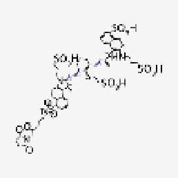 C=C(/C=C/C1=C(SCCS(=O)(=O)O)C(=C/C=C2/N(CCCS(=O)(=O)O)c3ccc4c(S(=O)(=O)N(C)CCCC(=O)CN5C(=O)CCC5=O)cccc4c3C2(C)C)/CCC1)C(C)(C)c1c(NCCCS(=O)(=O)O)ccc2c(S(=O)(=O)O)cccc12